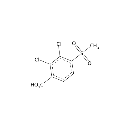 CS(=O)(=O)c1ccc(C(=O)O)c(Cl)c1Cl